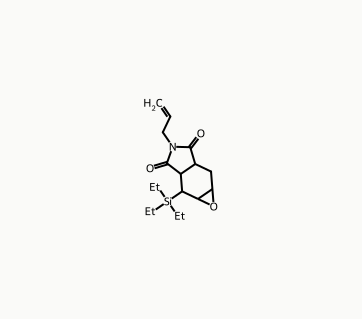 C=CCN1C(=O)C2CC3OC3C([Si](CC)(CC)CC)C2C1=O